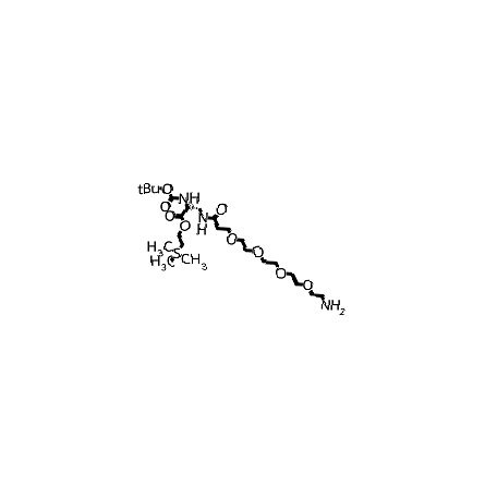 CC(C)(C)OC(=O)N[C@H](CNC(=O)CCOCCOCCOCCOCCN)C(=O)OCCS(C)(C)C